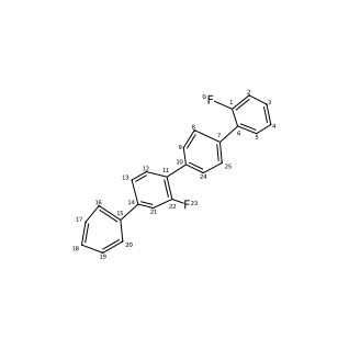 Fc1ccccc1-c1ccc(-c2ccc(-c3ccccc3)cc2F)cc1